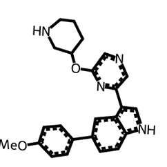 COc1ccc(-c2ccc3[nH]cc(-c4cncc(OC5CCCNC5)n4)c3c2)cc1